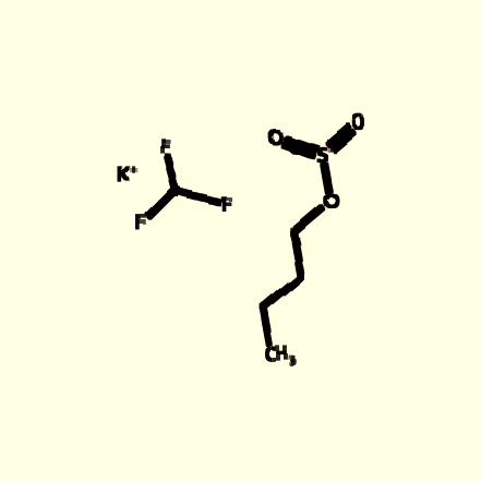 CCCCO[S-](=O)=O.F[C](F)F.[K+]